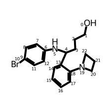 OCCCC(Nc1ccc(Br)cc1)c1ccccc1N1CCC1